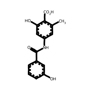 Cc1cc(NC(=O)c2cccc(O)c2)cc(O)c1C(=O)O